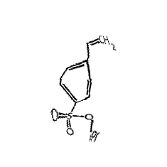 C=Cc1ccc(S(=O)(=O)OC(C)C)cc1